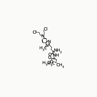 COC(=O)[C@H](CC(C)C)NC(=O)[C@@H](N)CCc1nc2cc(N(CCCl)CCCl)ccc2n1C